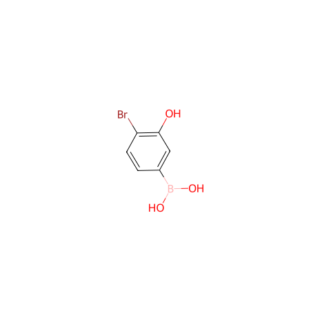 OB(O)c1ccc(Br)c(O)c1